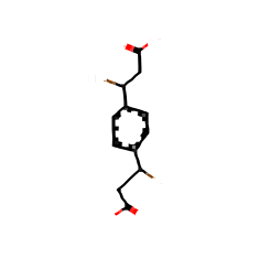 O=C(O)CC(S)c1ccc(C(S)CC(=O)O)cc1